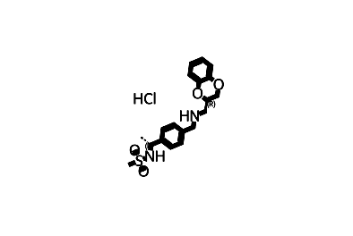 C[C@@H](NS(C)(=O)=O)c1ccc(CNC[C@@H]2COc3ccccc3O2)cc1.Cl